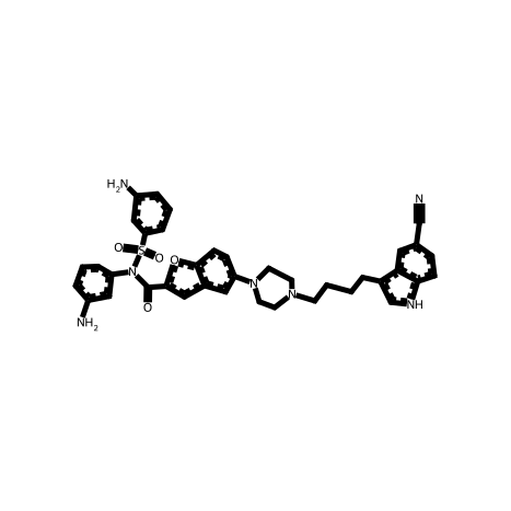 N#Cc1ccc2[nH]cc(CCCCN3CCN(c4ccc5oc(C(=O)N(c6cccc(N)c6)S(=O)(=O)c6cccc(N)c6)cc5c4)CC3)c2c1